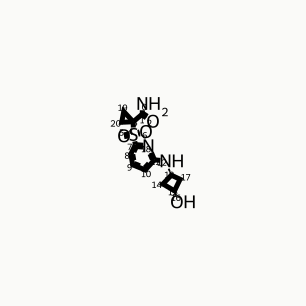 NC(=O)C1(S(=O)(=O)c2cccc(N[C@H]3C[C@@H](O)C3)n2)CC1